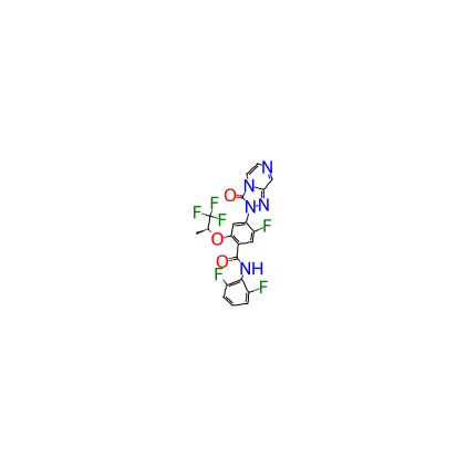 C[C@H](Oc1cc(-n2nc3cnccn3c2=O)c(F)cc1C(=O)Nc1c(F)cccc1F)C(F)(F)F